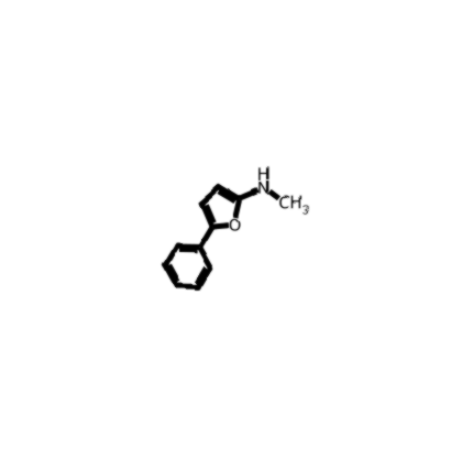 CNc1ccc(-c2ccccc2)o1